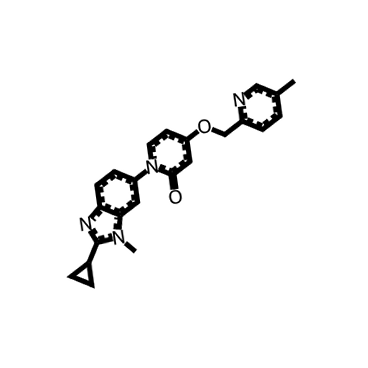 Cc1ccc(COc2ccn(-c3ccc4nc(C5CC5)n(C)c4c3)c(=O)c2)nc1